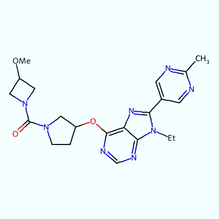 CCn1c(-c2cnc(C)nc2)nc2c(OC3CCN(C(=O)N4CC(OC)C4)C3)ncnc21